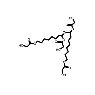 O=C(CO)OCCCCCCC[CH](OC(=O)CO)[Ti][CH](CCCCCCCOC(=O)CO)OC(=O)CO